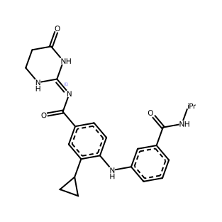 CC(C)NC(=O)c1cccc(Nc2ccc(C(=O)/N=C3\NCCC(=O)N3)cc2C2CC2)c1